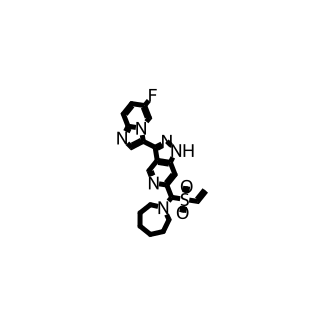 C=CS(=O)(=O)C(c1cc2[nH]nc(-c3cnc4ccc(F)cn34)c2cn1)N1CCCCCC1